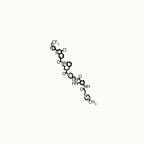 CN1CCN(CCC(=O)Nc2ccc3c(=O)n(CC4(O)CCN(C(=O)C(CCCNC(=O)c5ccc6c(Cl)cc(-c7cnn(CC(F)(F)F)c7)nc6c5)Cc5ccccc5)CC4)cnc3c2)CC1